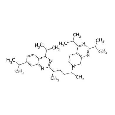 CC(C)c1ccc2c(C(C)C)nc(C(C)CCC(C)N3CCc4c(nc(C(C)C)nc4C(C)C)C3)nc2c1